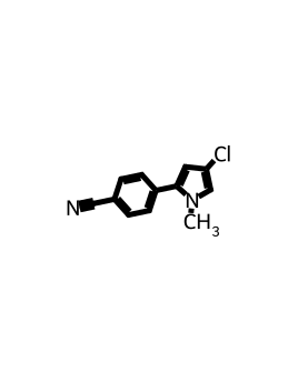 Cn1cc(Cl)cc1-c1ccc(C#N)cc1